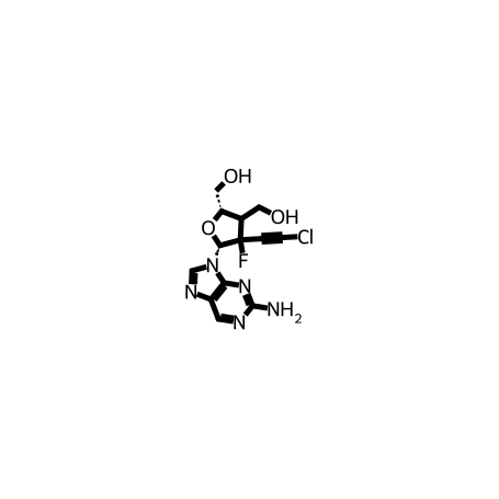 Nc1ncc2ncn([C@@H]3O[C@H](CO)C(CO)C3(F)C#CCl)c2n1